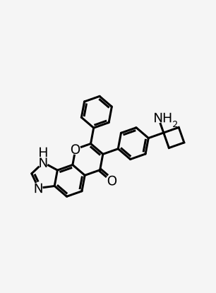 NC1(c2ccc(-c3c(-c4ccccc4)oc4c(ccc5nc[nH]c54)c3=O)cc2)CCC1